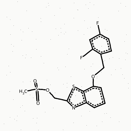 CS(=O)(=O)OCc1nc2cccc(OCc3ccc(F)cc3F)c2s1